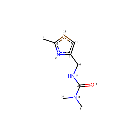 Cc1nc(CNC(=O)N(C)C)cs1